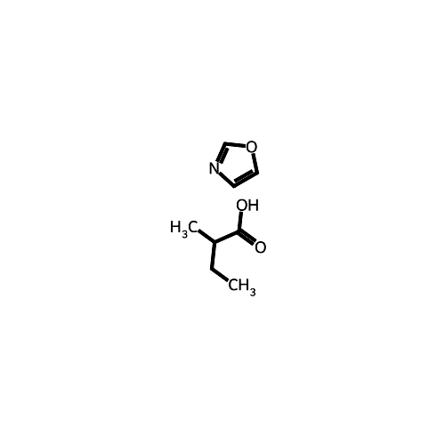 CCC(C)C(=O)O.c1cocn1